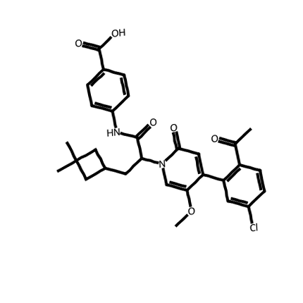 COc1cn(C(CC2CC(C)(C)C2)C(=O)Nc2ccc(C(=O)O)cc2)c(=O)cc1-c1cc(Cl)ccc1C(C)=O